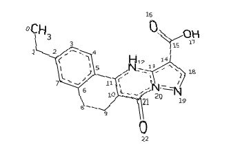 CCc1ccc2c(c1)CCc1c-2[nH]c2c(C(=O)O)cnn2c1=O